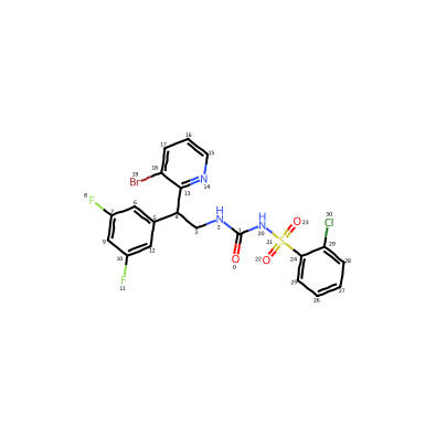 O=C(NCC(c1cc(F)cc(F)c1)c1ncccc1Br)NS(=O)(=O)c1ccccc1Cl